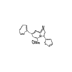 COc1cc(-c2ccccc2)cc2ncc(-c3cccs3)n12